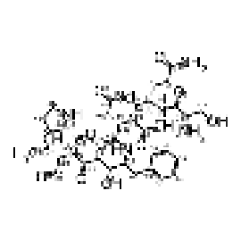 CC(=O)N(C(=O)[C@H](CCC(N)=O)NC(=O)[C@@H](N)CO)[C@@H](CC(N)=O)C(=O)NC(Cc1ccccc1)C(O)CC(=O)N(C(=O)[C@@H]1CCCN1)[C@H]([C]=O)C(C)C